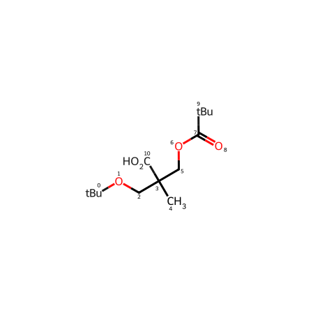 CC(C)(C)OCC(C)(COC(=O)C(C)(C)C)C(=O)O